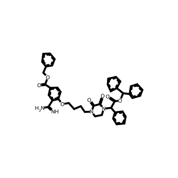 N=C(N)c1cc(C(=O)OCc2ccccc2)ccc1OCCCCN1CCN(C(C(=O)OC(c2ccccc2)c2ccccc2)c2ccccc2)C(=O)C1=O